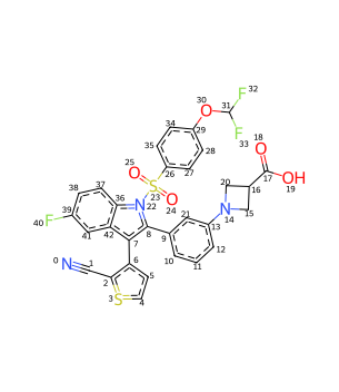 N#Cc1sccc1-c1c(-c2cccc(N3CC(C(=O)O)C3)c2)n(S(=O)(=O)c2ccc(OC(F)F)cc2)c2ccc(F)cc12